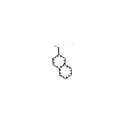 O=C(O)[C@@H](O)c1ccc2ccccc2c1